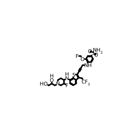 NS(=O)(=O)c1ccc(NCC#Cc2sc3c(NC4CCN(CC(O)CO)CC4F)cccc3c2CC(F)(F)F)c(OCF)c1